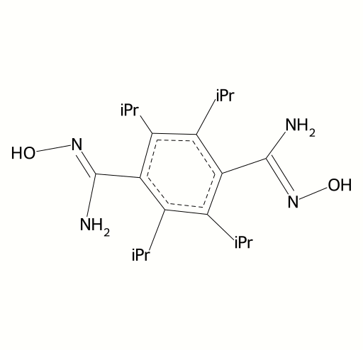 CC(C)c1c(/C(N)=N/O)c(C(C)C)c(C(C)C)c(/C(N)=N/O)c1C(C)C